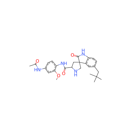 COc1cc(NC(C)=O)ccc1NC(=O)C1CC2(CN1)C(=O)Nc1ccc(CC(C)(C)C)cc12